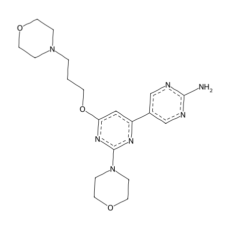 Nc1ncc(-c2cc(OCCCN3CCOCC3)nc(N3CCOCC3)n2)cn1